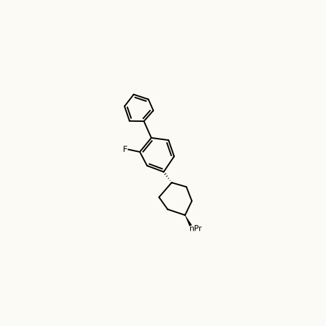 CCC[C@H]1CC[C@H](c2ccc(-c3ccccc3)c(F)c2)CC1